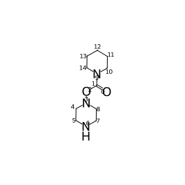 O=C(ON1CCNCC1)N1CCCCC1